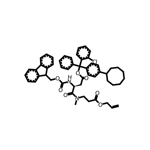 C=CCOC(=O)CCN(C)C(=O)[C@H](CC(=O)OC(c1ccccc1)(c1ccc(C2CCCCCCC2)cc1)c1ccccc1Cl)NC(=O)OCC1c2ccccc2-c2ccccc21